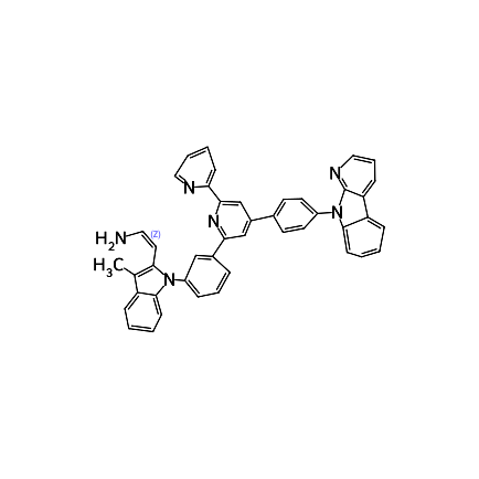 Cc1c(/C=C\N)n(-c2cccc(-c3cc(-c4ccc(-n5c6ccccc6c6cccnc65)cc4)cc(-c4ccccn4)n3)c2)c2ccccc12